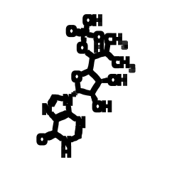 CC(C)C(OP(=O)(O)O)C1O[C@@H](n2cnc3c(=O)[nH]cnc32)[C@H](O)[C@@H]1O